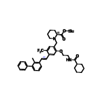 Cc1c(/C=C/c2cc(OCCNC(=O)C3CCCCC3)c(CN3CCCC[C@H]3C(=O)OC(C)(C)C)cc2C(F)(F)F)cccc1-c1ccccc1